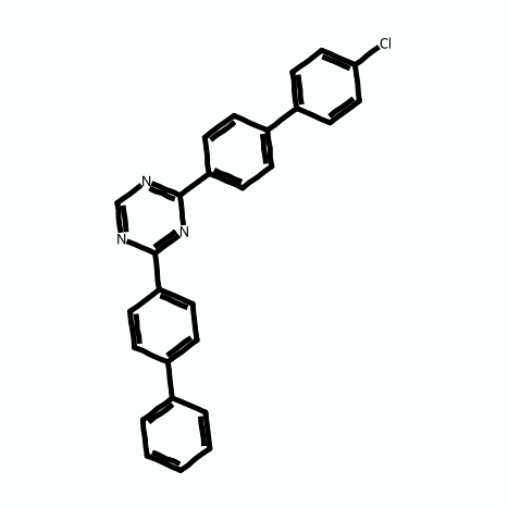 Clc1ccc(-c2ccc(-c3ncnc(-c4ccc(-c5ccccc5)cc4)n3)cc2)cc1